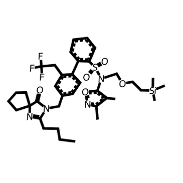 CCCCC1=NC2(CCCC2)C(=O)N1Cc1ccc(-c2ccccc2S(=O)(=O)N(COCC[Si](C)(C)C)c2onc(C)c2C)c(CC(F)(F)F)c1